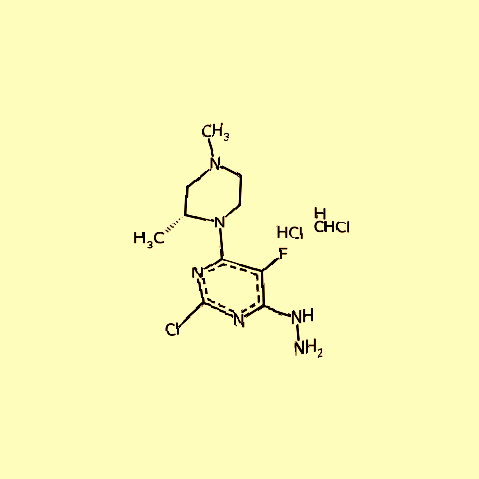 C[C@@H]1CN(C)CCN1c1nc(Cl)nc(NN)c1F.Cl.Cl.Cl